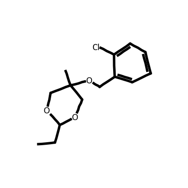 CCC1OCC(C)(OCc2ccccc2Cl)CO1